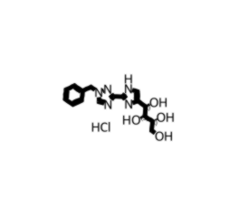 Cl.OC[C@@H](O)[C@@H](O)[C@H](O)c1c[nH]c(-c2ncn(Cc3ccccc3)n2)n1